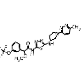 COC(C(=O)Nc1nnc(N[C@@H]2CCN(c3ccc(C)nn3)C2)s1)c1cccc(OC(F)(F)F)c1